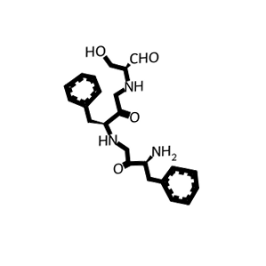 N[C@@H](Cc1ccccc1)C(=O)CN[C@@H](Cc1ccccc1)C(=O)CN[C@H](C=O)CO